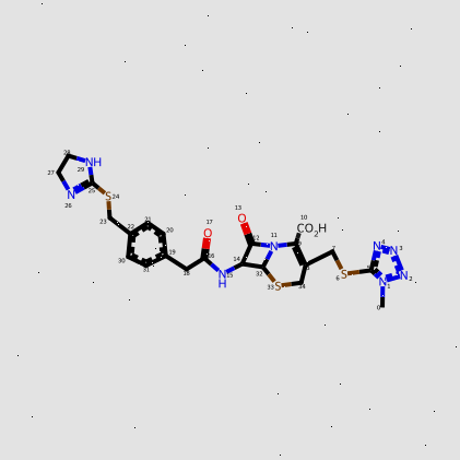 Cn1nnnc1SCC1=C(C(=O)O)N2C(=O)C(NC(=O)Cc3ccc(CSC4=NCCN4)cc3)C2SC1